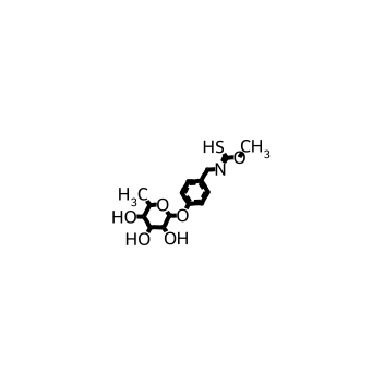 CO/C(S)=N/Cc1ccc(OC2OC(C)C(O)C(O)C2O)cc1